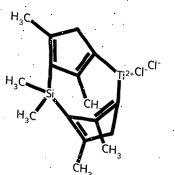 CC1=C2C(C)=[C](C1)[Ti+2][C]1=C(C)C(=C(C)C1)[Si]2(C)C.[Cl-].[Cl-]